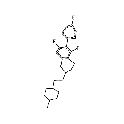 CC1CCC(CCC2CCc3c(cc(F)c(-c4ccc(F)cc4)c3F)C2)CC1